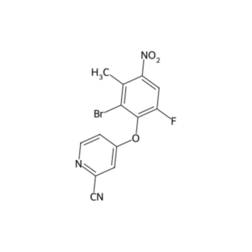 Cc1c([N+](=O)[O-])cc(F)c(Oc2ccnc(C#N)c2)c1Br